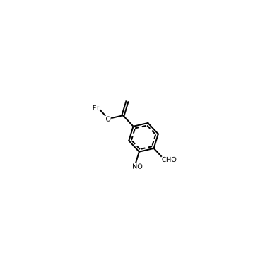 C=C(OCC)c1ccc(C=O)c(N=O)c1